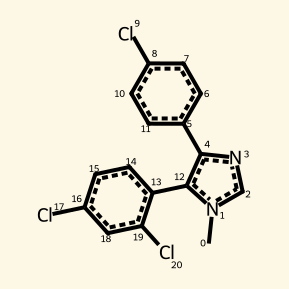 Cn1cnc(-c2ccc(Cl)cc2)c1-c1ccc(Cl)cc1Cl